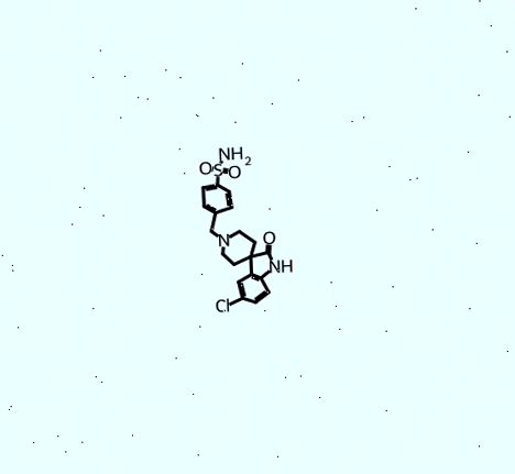 NS(=O)(=O)c1ccc(CN2CCC3(CC2)C(=O)Nc2ccc(Cl)cc23)cc1